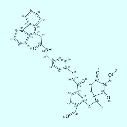 COCN1C(=O)CCC(N(C)Cc2cc(C(=O)NCc3ccc(CNC(=O)Cn4c5ccccc5c5cccnc54)cc3)ccc2C=O)C1=O